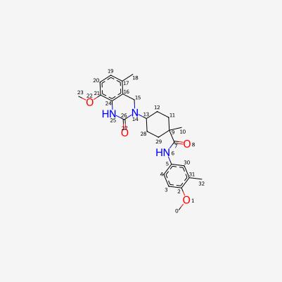 COc1ccc(NC(=O)C2(C)CCC(N3Cc4c(C)ccc(OC)c4NC3=O)CC2)cc1C